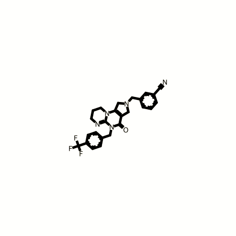 N#Cc1cccc(CN2CC3=C(C2)N2CCCN=C2N(Cc2ccc(C(F)(F)F)cc2)C3=O)c1